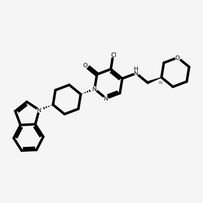 O=c1c(Cl)c(NC[C@@H]2CCCOC2)cnn1[C@H]1CC[C@@H](n2ccc3ccccc32)CC1